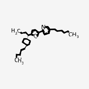 C=CCC(c1ccc(-c2ccc(CCCCCC)cn2)cc1)[C@H]1CC[C@H](CCCCC)CC1